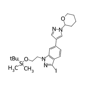 CC(C)(C)[Si](C)(C)OCCn1nc(I)c2ccc(-c3cnn(C4CCCCO4)c3)cc21